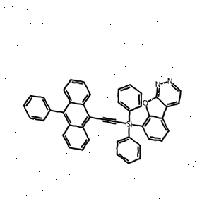 C(#C[Si](c1ccccc1)(c1ccccc1)c1cccc2c1oc1nnccc12)c1c2ccccc2c(-c2ccccc2)c2ccccc12